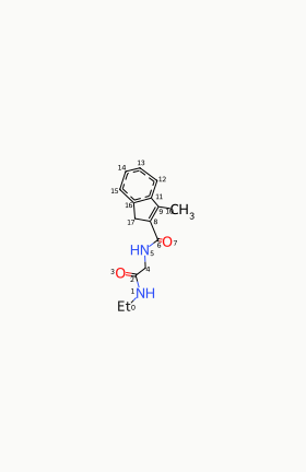 CCNC(=O)CNC(=O)C1=C(C)c2ccccc2C1